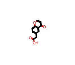 O=C(O)Cc1ccc2occc(=O)c2c1